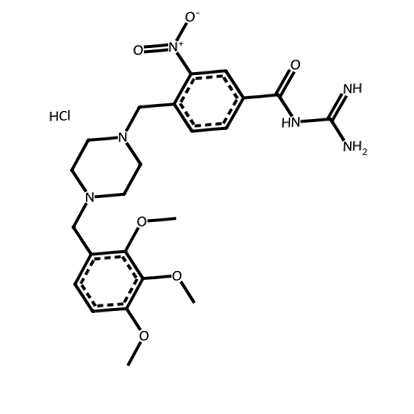 COc1ccc(CN2CCN(Cc3ccc(C(=O)NC(=N)N)cc3[N+](=O)[O-])CC2)c(OC)c1OC.Cl